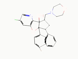 OC12c3ncc(Cl)cc3OC1(c1ccc(Br)cc1)C(c1ccccc1)CC2CN1CCOCC1